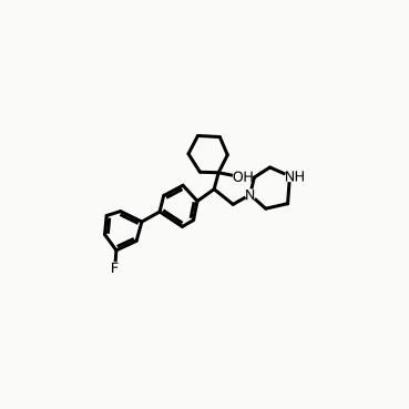 OC1(C(CN2CCNCC2)c2ccc(-c3cccc(F)c3)cc2)CCCCC1